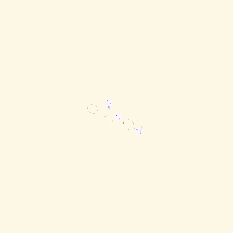 CC(C)N(C(=O)C(C#N)=Cc1ccc(Cl)cc1)c1ccc2nc(S)sc2c1